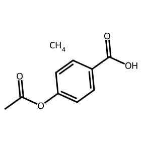 C.CC(=O)Oc1ccc(C(=O)O)cc1